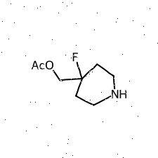 CC(=O)OCC1(F)CCNCC1